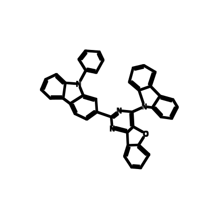 c1ccc(-n2c3ccccc3c3ccc(-c4nc(-n5c6ccccc6c6ccccc65)c5oc6ccccc6c5n4)cc32)cc1